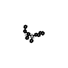 c1ccc(-c2cccc(-c3ccc(-c4nc(-c5ccccc5)nc(-c5ccc6c(ccc7c8ccccc8ccc67)c5)n4)c4c3oc3ccccc34)c2)cc1